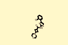 O=C(Nc1nc(-c2ccccc2Cl)cs1)C1CC(N2CCOCC2)C1